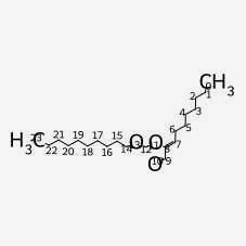 CCCCCCCC=C(C=O)OCOCCCCCCCCCC